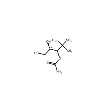 CC(C)(C)C(OC(N)=O)[C@H](O)CO